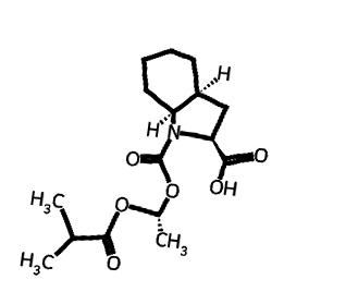 CC(C)C(=O)O[C@@H](C)OC(=O)N1[C@H](C(=O)O)C[C@@H]2CCCC[C@@H]21